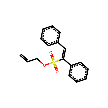 C=CCOS(=O)(=O)C(=Cc1ccccc1)c1ccccc1